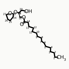 CCCCCCCCCCCCCCCC(=O)OC[C@H](CO)OC1CCCCO1